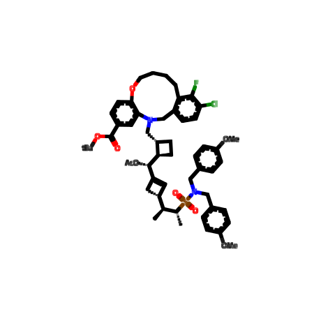 COc1ccc(CN(Cc2ccc(OC)cc2)S(=O)(=O)[C@H](C)[C@@H](C)[C@H]2C=C([C@H](OC(C)=O)[C@@H]3CC[C@H]3CN3Cc4ccc(Cl)c(F)c4CCCCOc4ccc(C(=O)OC(C)(C)C)cc43)C2)cc1